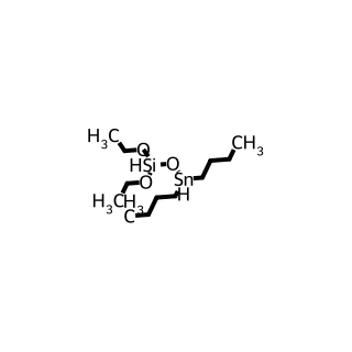 CCC[CH2][SnH]([CH2]CCC)[O][SiH](OCC)OCC